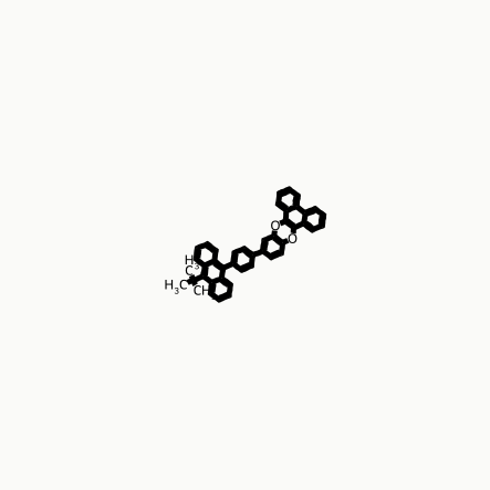 CC(C)(C)c1c2ccccc2c(-c2ccc(-c3ccc4c(c3)Oc3c(c5ccccc5c5ccccc35)O4)cc2)c2ccccc12